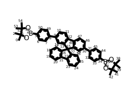 CC1(C)OB(c2ccc(-c3ccc4c(c3)C3(c5ccccc5-c5ccccc53)c3cc(-c5ccc(B6OC(C)(C)C(C)(C)O6)cc5)ccc3-4)cc2)OC1(C)C